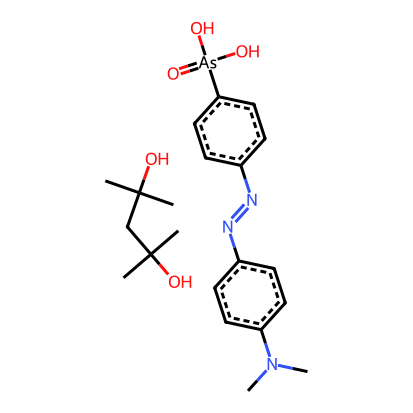 CC(C)(O)CC(C)(C)O.CN(C)c1ccc(N=Nc2ccc([As](=O)(O)O)cc2)cc1